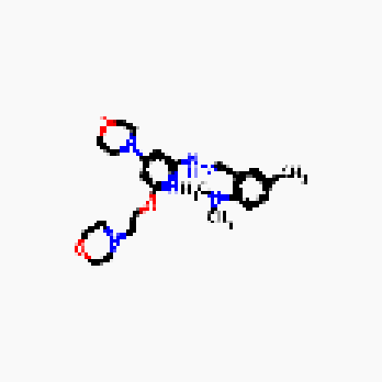 Cc1ccc(N(C)C)c(/C=N/Nc2cc(N3CCOCC3)cc(OCCN3CCOCC3)n2)c1